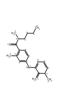 C=C1C(Nc2ccc(C(=O)N(C)CCCC)c(C)c2)=NC=CC1C